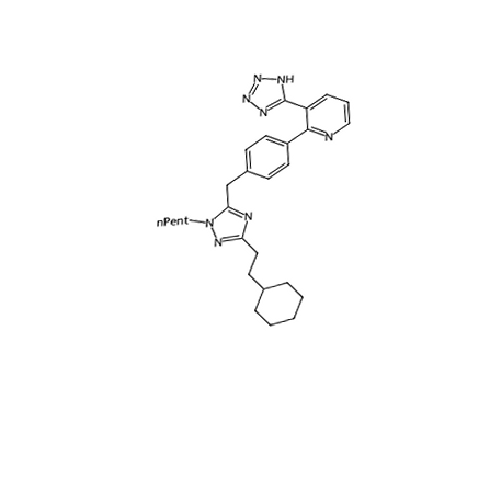 CCCCCn1nc(CCC2CCCCC2)nc1Cc1ccc(-c2ncccc2-c2nnn[nH]2)cc1